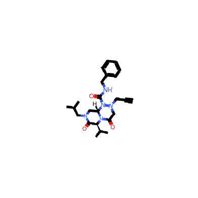 C#CCN1CC(=O)N2[C@@H](C(C)C)C(=O)N(CC(C)C)C[C@@H]2N1C(=O)NCc1ccccc1